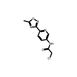 Cc1nc(-c2ccc(NC(=O)CCl)cn2)no1